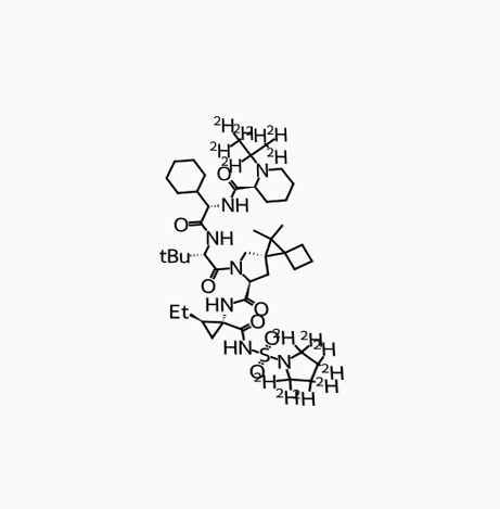 [2H]C([2H])([2H])C([2H])(N1CCCC[C@H]1C(=O)N[C@H](C(=O)N[C@H](C(=O)N1C[C@]2(C[C@H]1C(=O)N[C@]1(C(=O)NS(=O)(=O)N3C([2H])([2H])C([2H])([2H])C([2H])([2H])C3([2H])[2H])C[C@H]1CC)C(C)(C)C21CCC1)C(C)(C)C)C1CCCCC1)C([2H])([2H])[2H]